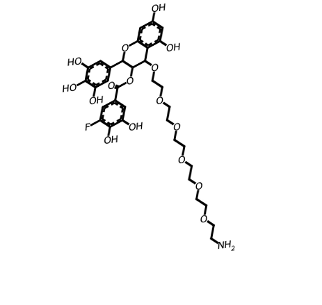 NCCOCCOCCOCCOCCOCCOC1c2c(O)cc(O)cc2OC(c2cc(O)c(O)c(O)c2)C1OC(=O)c1cc(O)c(O)c(F)c1